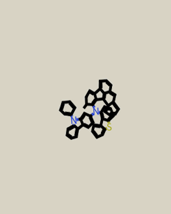 CC1CC=C2C(=C1N(c1ccc3c4ccccc4n(-c4ccccc4)c3c1)c1cccc3sc4ccccc4c13)c1c3ccccc3cc3cccc2c13